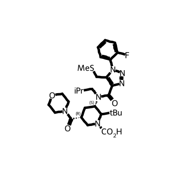 CSCc1c(C(=O)N(CC(C)C)[C@H]2C[C@@H](C(=O)N3CCOCC3)CN(C(=O)O)C2C(C)(C)C)nnn1-c1ccccc1F